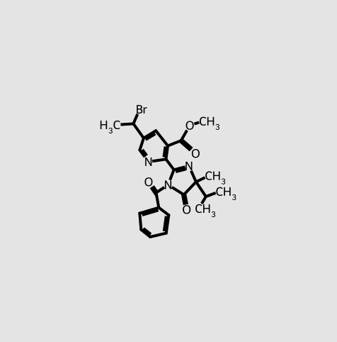 COC(=O)c1cc(C(C)Br)cnc1C1=NC(C)(C(C)C)C(=O)N1C(=O)c1ccccc1